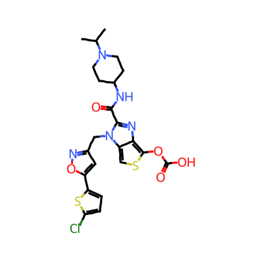 CC(C)N1CCC(NC(=O)c2nc3c(OC(=O)O)scc3n2Cc2cc(-c3ccc(Cl)s3)on2)CC1